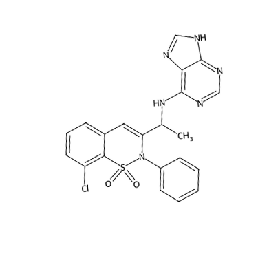 CC(Nc1ncnc2[nH]cnc12)C1=Cc2cccc(Cl)c2S(=O)(=O)N1c1ccccc1